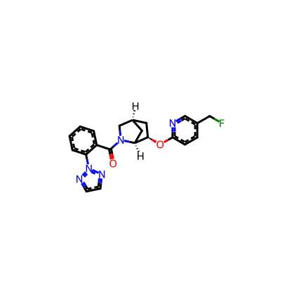 O=C(c1ccccc1-n1nccn1)N1C[C@H]2C[C@@H](Oc3ccc(CF)cn3)[C@@H]1C2